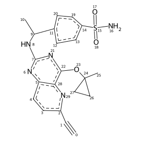 C#Cc1ccc2nc(NC(C)c3ccc(S(N)(=O)=O)cc3)nc(OC3(C)CC3)c2n1